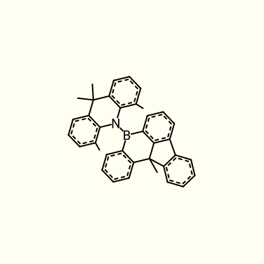 Cc1cccc2c1N(B1c3ccccc3C3(C)c4ccccc4-c4cccc1c43)c1c(C)cccc1C2(C)C